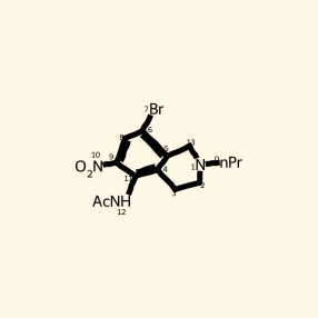 CCCN1CCc2c(c(Br)cc([N+](=O)[O-])c2NC(C)=O)C1